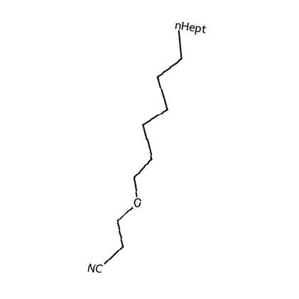 CCCCCCCCCCCCCOCCC#N